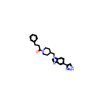 O=C(CCc1ccccc1)N1CCC(Cn2cnc3cc(-c4cn[nH]n4)ccc32)CC1